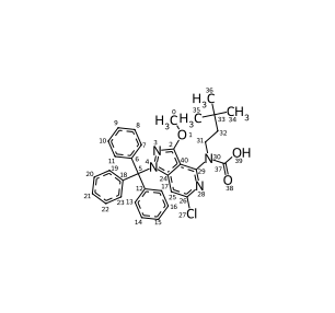 COc1nn(C(c2ccccc2)(c2ccccc2)c2ccccc2)c2cc(Cl)nc(N(CCC(C)(C)C)C(=O)O)c12